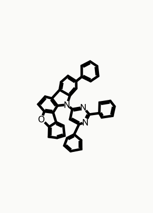 c1ccc(-c2ccc3c4ccc5oc6ccccc6c5c4n(-c4cc(-c5ccccc5)nc(-c5ccccc5)n4)c3c2)cc1